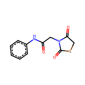 O=C(CN1C(=O)CSC1=O)Nc1ccccc1